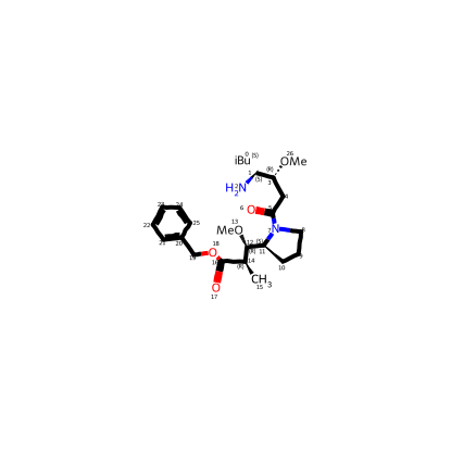 CC[C@H](C)[C@H](N)[C@@H](CC(=O)N1CCC[C@H]1[C@H](OC)[C@@H](C)C(=O)OCc1ccccc1)OC